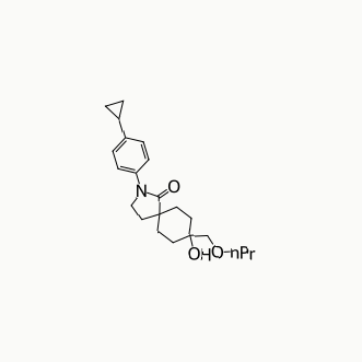 CCCOCC1(O)CCC2(CCN(c3ccc(C4CC4)cc3)C2=O)CC1